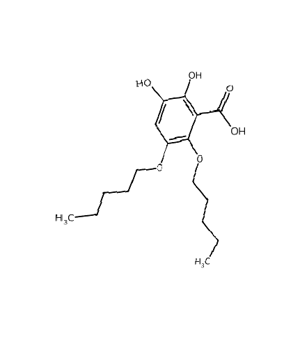 CCCCCOc1cc(O)c(O)c(C(=O)O)c1OCCCCC